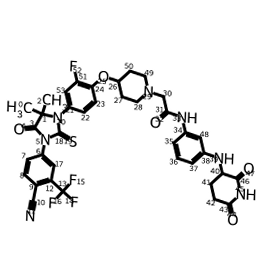 CC1(C)C(=O)N(c2ccc(C#N)c(C(F)(F)F)c2)C(=S)N1c1ccc(OC2CCN(CC(=O)Nc3cccc(NC4CCC(=O)NC4=O)c3)CC2)c(F)c1